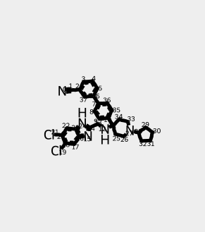 N#Cc1cccc(-c2ccc(C3(NCc4nc5cc(Cl)c(Cl)cc5[nH]4)CCN(C4CCCC4)CC3)cc2)c1